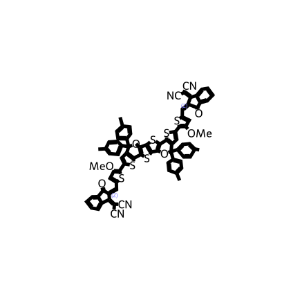 COc1cc(/C=C2\C(=O)c3ccccc3C2=C(C#N)C#N)sc1-c1cc2c(s1)-c1sc3c4c(sc3c1OC2(c1ccc(C)cc1)c1ccc(C)cc1)-c1sc(-c2sc(/C=C3\C(=O)c5ccccc5C3=C(C#N)C#N)cc2OC)cc1C(c1ccc(C)cc1)(c1ccc(C)cc1)O4